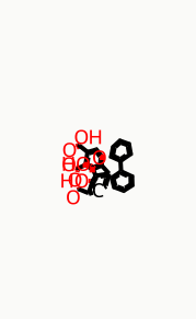 O=C(O)c1ccc2cc1C(=O)OC(=O)c1ccc-2c(C(=O)O)c1O.c1ccc(-c2ccccc2)cc1